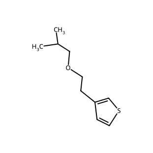 CC(C)COCCc1ccsc1